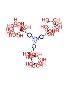 OC1C[C@H](O)CC(O)[C@H](O)C(O)C(O)CC1O[Si](O)(O)CCc1ccc(N2CN(c3ccc(CC[Si](O)(O)O[C@@H]4CC(O)[C@H](O)C(O)C(O)C(O)C(O)[C@H](O)C4)cc3)CN(c3ccc(CC[Si](O)(O)O[C@@H]4C(O)CC(O)C(O)C(O)[C@H](O)C(O)CC4O)cc3)C2)cc1